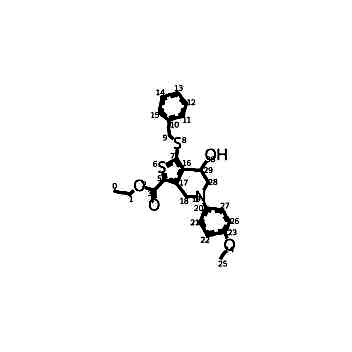 CCOC(=O)c1sc(SCc2ccccc2)c2c1CN(c1ccc(OC)cc1)CC2O